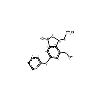 CCCOc1cc(Oc2cnccn2)cc2c1C(CC(=O)OCC)OB2O